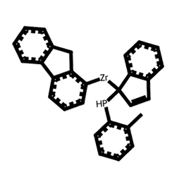 Cc1ccccc1P[C]1([Zr][c]2cccc3c2Cc2ccccc2-3)C=Cc2ccccc21